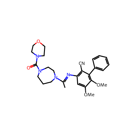 COc1cc(N=C(C)N2CCCN(C(=O)N3CCOCC3)CC2)c(C#N)c(-c2ccccc2)c1OC